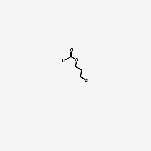 O=C(Cl)OCCCBr